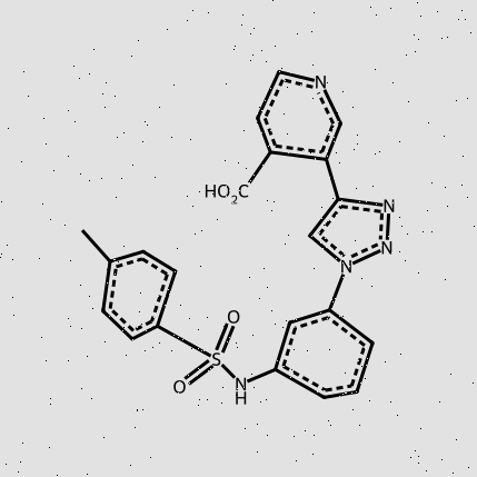 Cc1ccc(S(=O)(=O)Nc2cccc(-n3cc(-c4cnccc4C(=O)O)nn3)c2)cc1